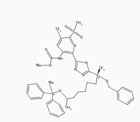 CC(CCCCC[C@@](OCc1ccccc1)(c1nnc(-c2nc(S(C)(=O)=O)c(C(F)(F)F)cc2NC(=O)OC(C)(C)C)o1)C(F)(F)F)O[Si](c1ccccc1)(c1ccccc1)C(C)(C)C